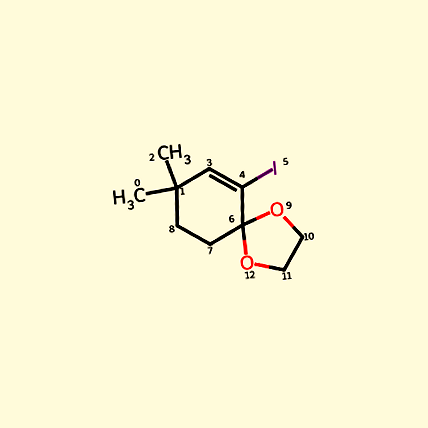 CC1(C)C=C(I)C2(CC1)OCCO2